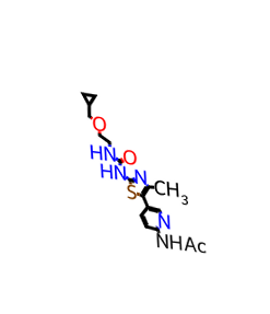 CC(=O)Nc1ccc(-c2sc(NC(=O)NCCOCC3CC3)nc2C)cn1